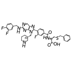 O=C(N[C@@H](CSCc1ccccc1)C(=O)O)c1ccc(-c2nc3cnc(NCc4ccc(F)c(F)c4)nc3n2C[C@@H]2CCCNC2)c(I)c1